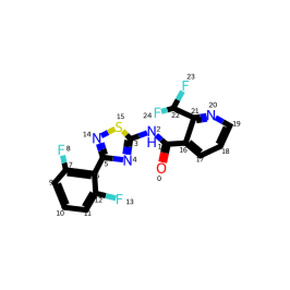 O=C(Nc1nc(-c2c(F)cccc2F)ns1)c1cccnc1C(F)F